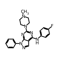 CN1CCN(c2nc(Nc3ccc(F)cc3)c3cnn(-c4ccccc4)c3n2)CC1